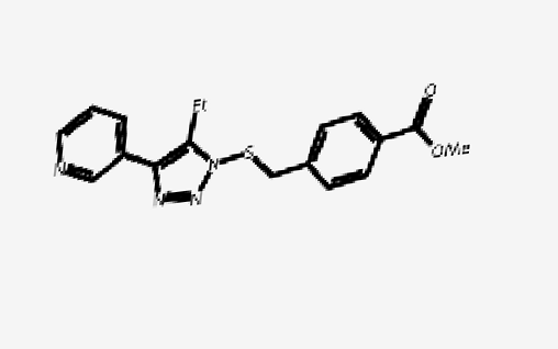 CCc1c(-c2cccnc2)nnn1SCc1ccc(C(=O)OC)cc1